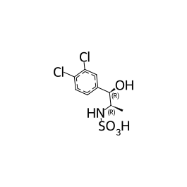 C[C@@H](NS(=O)(=O)O)[C@H](O)c1ccc(Cl)c(Cl)c1